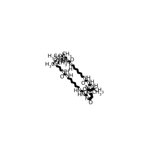 Cc1cc(=O)nc(NC(=O)NCCCCCCNC(=O)NCCC[Si](C)(C)O[Si](C)(C)O[Si](C)(C)CNC(=O)NCCCCCCNC(=O)Nc2nc(=O)cc(C)[nH]2)[nH]1